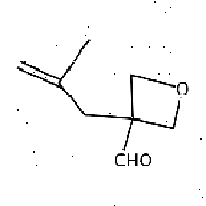 C=C(C)CC1(C=O)COC1